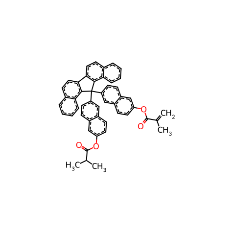 C=C(C)C(=O)Oc1ccc2cc(C3(c4ccc5cc(OC(=O)C(C)C)ccc5c4)c4c(ccc5ccccc45)-c4ccc5ccccc5c43)ccc2c1